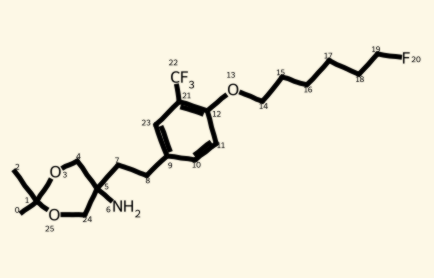 CC1(C)OCC(N)(CCc2ccc(OCCCCCCF)c(C(F)(F)F)c2)CO1